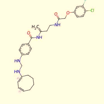 C=C(CCNC(=O)COc1ccc(Cl)c(F)c1)NC(=O)c1ccc(NCN/C2=C/C=C\CCCC2)cc1